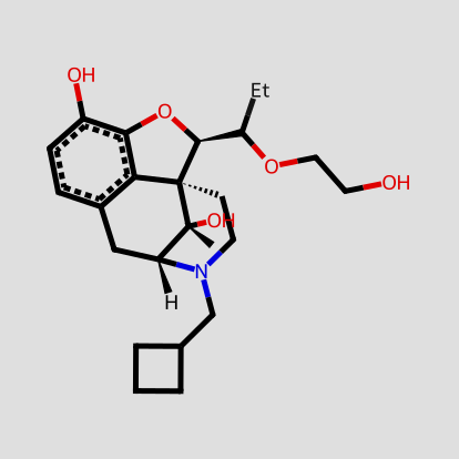 CCC(OCCO)[C@@H]1Oc2c(O)ccc3c2[C@@]12CCN(CC1CCC1)[C@H](C3)[C@@]2(C)O